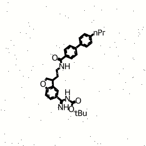 CCCc1ccc(-c2ccc(C(=O)NCCC3COc4ccc(C(=N)NC(=O)OC(C)(C)C)cc43)cc2)cc1